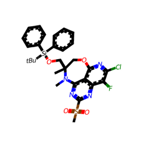 CN1c2nc(S(C)(=O)=O)nc3c(F)c(Cl)nc(c23)OCC1(C)CO[Si](c1ccccc1)(c1ccccc1)C(C)(C)C